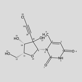 Cc1cc(=O)[nH]c(=O)n1[C@@H]1O[C@H](CO)[C@H](O)C1(O)C#CCl